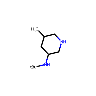 CC1CNCC(NC(C)(C)C)C1